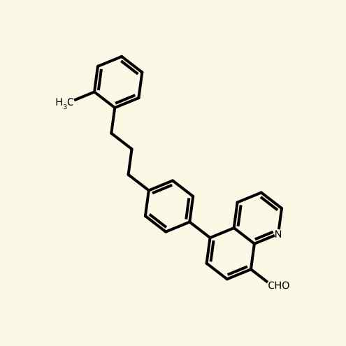 Cc1ccccc1CCCc1ccc(-c2ccc(C=O)c3ncccc23)cc1